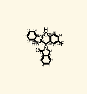 O=C1c2ccccc2CN1C(c1nc2ccccc2[nH]1)c1cc(F)ccc1O